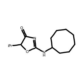 CC(C)C1OC(NC2CCCCCCC2)=NC1=O